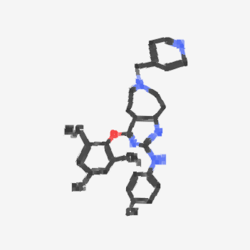 Cc1cc(C#N)cc(C)c1Oc1nc(Nc2ccc(C#N)cc2)nc2c1CCN(Cc1ccncc1)CC2